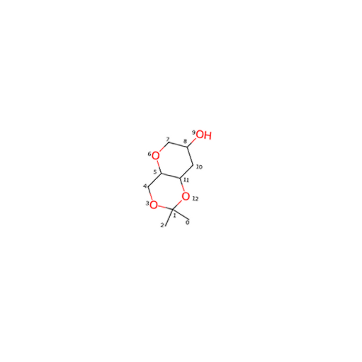 CC1(C)OCC2OCC(O)CC2O1